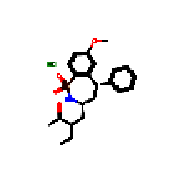 CCC(C[C@@H]1C[C@@H](c2ccccc2)c2cc(OC)ccc2S(=O)(=O)N1)C(C)=O.Cl